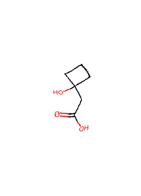 O=C(O)CC1(O)CCC1